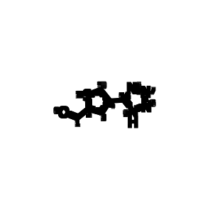 O=Cc1cc(-c2nnn[nH]2)cs1